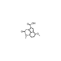 COc1ccc(OC)c2c1cc(C(=O)O)n2CC(C)=O